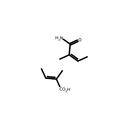 CC=C(C)C(=O)O.CC=C(C)C(N)=O